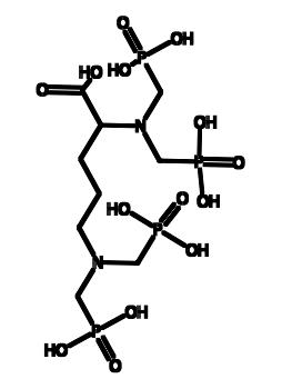 O=C(O)C(CCCN(CP(=O)(O)O)CP(=O)(O)O)N(CP(=O)(O)O)CP(=O)(O)O